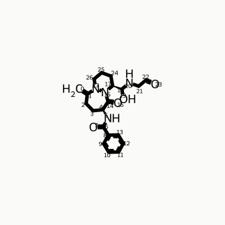 C=C1CC[C@H](NC(=O)c2ccccc2)C(=O)N2[C@H](C(O)NCC=O)CCCN12